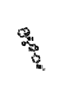 Nc1ccc(-c2nc(C(=O)NC34CC5CC(CC(C5)C3)C4)co2)cc1